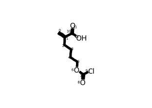 C=C(CCCCOC(=O)Cl)C(=O)O